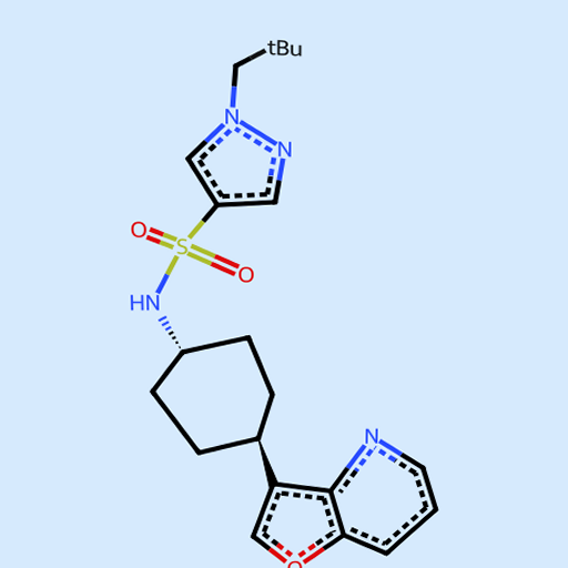 CC(C)(C)Cn1cc(S(=O)(=O)N[C@H]2CC[C@H](c3coc4cccnc43)CC2)cn1